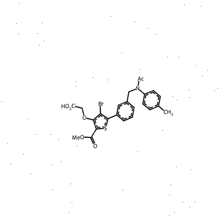 COC(=O)c1sc(-c2cccc(CN(C(C)=O)c3ccc(C)cc3)c2)c(Br)c1OCC(=O)O